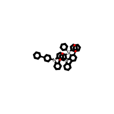 c1ccc(-c2ccc(-n3c4ccccc4c4c(-n5c6ccccc6c6ccc(-c7ccccc7)c([Si](c7ccccc7)(c7ccccc7)c7ccccc7)c65)cccc43)cc2)cc1